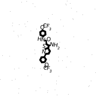 Nc1c(C(=O)Nc2ccc(OC(F)(F)F)cc2)sc2nc(-c3cccc(OC(F)(F)F)c3)ccc12